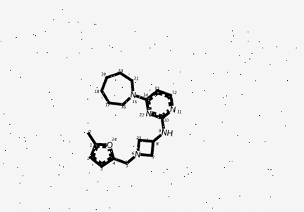 Cc1ccc(CN2CC(Nc3nccc(N4CCCCCC4)n3)C2)o1